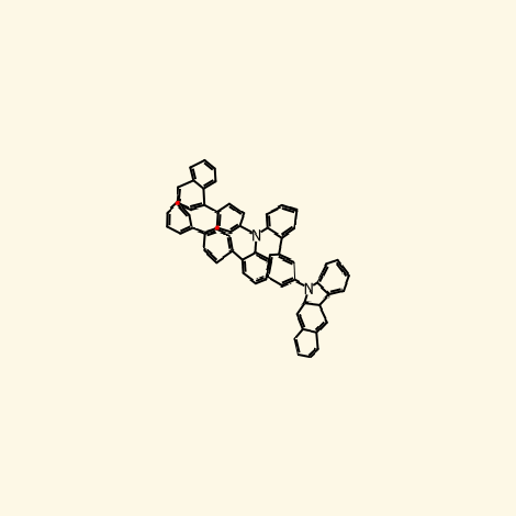 C1=c2ccccc2=CC2C1c1ccccc1N2c1cccc(-c2ccccc2N(c2ccc(-c3cccc4ccccc34)cc2)c2ccccc2-c2ccc(-c3ccccc3)cc2)c1